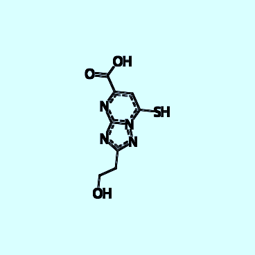 O=C(O)c1cc(S)n2nc(CCO)nc2n1